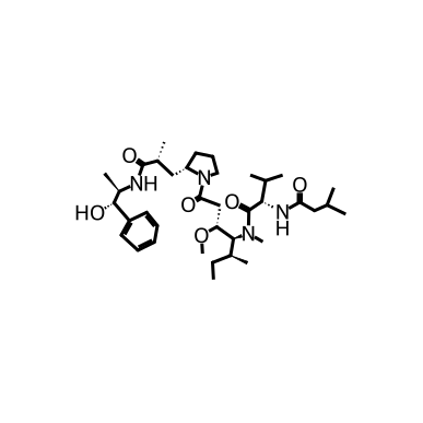 CC[C@H](C)[C@@H]([C@@H](CC(=O)N1CCC[C@H]1C[C@@H](C)C(=O)N[C@H](C)[C@@H](O)c1ccccc1)OC)N(C)C(=O)[C@@H](NC(=O)CC(C)C)C(C)C